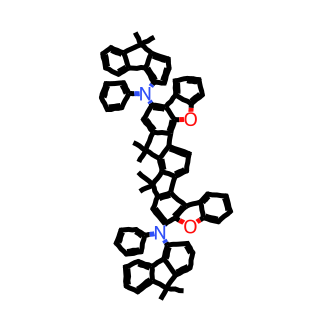 CC1(C)c2ccccc2-c2c(N(c3ccccc3)c3cc4c(c5c3oc3ccccc35)-c3ccc5c(c3C4(C)C)C(C)(C)c3cc(N(c4ccccc4)c4cccc6c4-c4ccccc4C6(C)C)c4c(oc6ccccc64)c3-5)cccc21